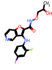 CC(O)CONC(=O)c1oc2ccncc2c1Nc1ccc(I)cc1F